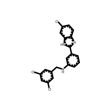 Clc1cc(Cl)cc(CNc2cccc(-c3nc4ccc(Cl)cc4[nH]3)c2)c1